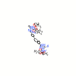 COC(=O)N[C@H](C(=O)N1C[C@@H](C#N)C[C@H]1c1ncc(-c2ccc3c(c2)C=CC(c2ccc(-c4cnc([C@@H]5CC6(CC6)CN5C(=O)[C@@H](NC(=O)OC)C(C)C)[nH]4)cc2)C3)[nH]1)C(C)C